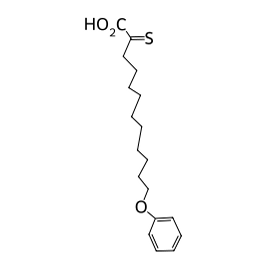 O=C(O)C(=S)CCCCCCCCCCOc1ccccc1